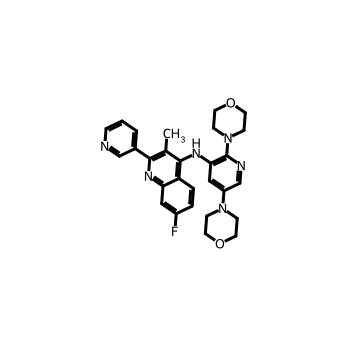 Cc1c(-c2cccnc2)nc2cc(F)ccc2c1Nc1cc(N2CCOCC2)cnc1N1CCOCC1